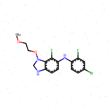 CC(C)(C)OCCON1CNc2ccc(Nc3ccc(Br)cc3F)c(F)c21